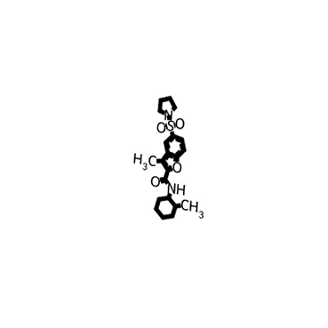 Cc1c(C(=O)NC2CCCCC2C)oc2ccc(S(=O)(=O)N3CCCC3)cc12